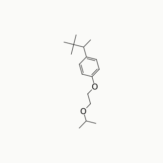 CC(C)OCCOc1ccc(C(C)C(C)(C)C)cc1